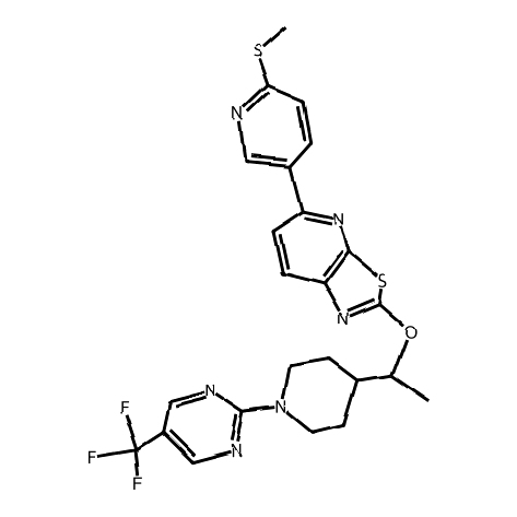 CSc1ccc(-c2ccc3nc(OC(C)C4CCN(c5ncc(C(F)(F)F)cn5)CC4)sc3n2)cn1